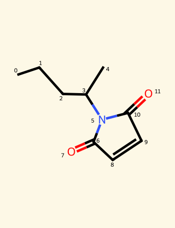 CCCC(C)N1C(=O)C=CC1=O